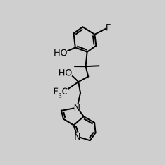 CC(C)(CC(O)(Cn1ccc2ncccc21)C(F)(F)F)c1cc(F)ccc1O